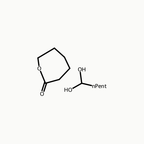 CCCCCC(O)O.O=C1CCCCCO1